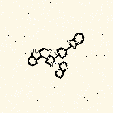 C=c1cccc/c1=C(/C=C\C)c1cnc(-c2ccnc3ccccc23)c(-c2ccc(-c3nc4ccccc4o3)cc2)c1